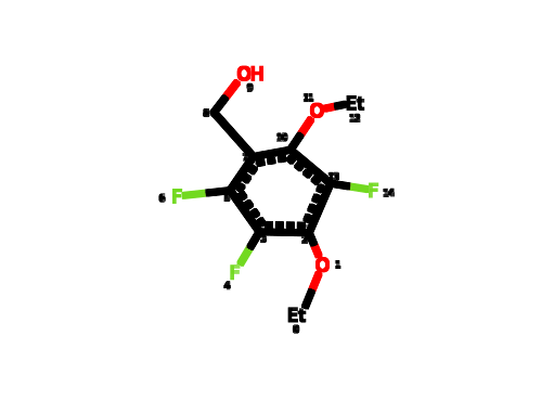 CCOc1c(F)c(F)c(CO)c(OCC)c1F